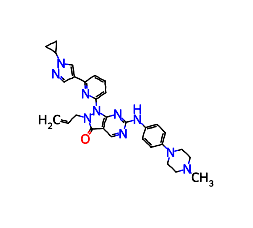 C=CCn1c(=O)c2cnc(Nc3ccc(N4CCN(C)CC4)cc3)nc2n1-c1cccc(-c2cnn(C3CC3)c2)n1